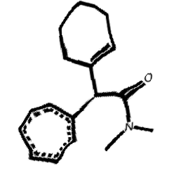 CN(C)C(=O)[C@H](C1=CCCCC1)c1ccccc1